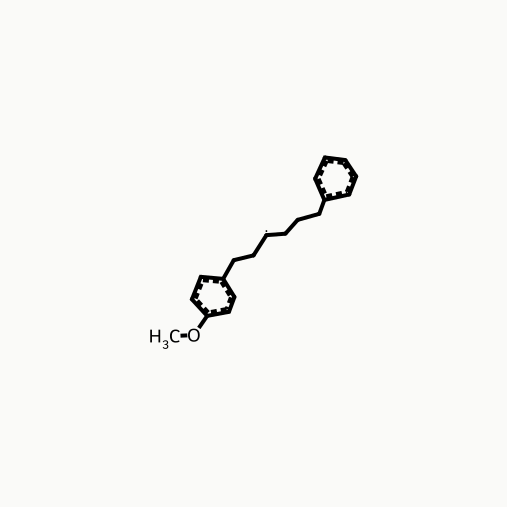 COc1ccc(CC[CH]CCCc2ccccc2)cc1